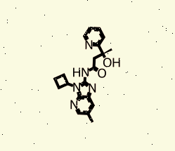 Cc1cnc2c(c1)nc(NC(=O)C[C@@](C)(O)c1ccccn1)n2C1CCC1